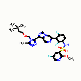 COc1ncc(F)cc1S(=O)(=O)Nc1ccc(F)c(-c2cn3cnc(-c4nnc(C)n4COCC[Si](C)(C)C)c3cn2)c1F